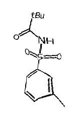 Cc1cccc(S(=O)(=O)NC(=O)C(C)(C)C)c1